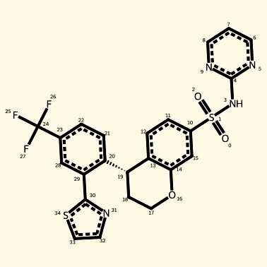 O=S(=O)(Nc1ncccn1)c1ccc2c(c1)OCC[C@@H]2c1ccc(C(F)(F)F)cc1-c1nccs1